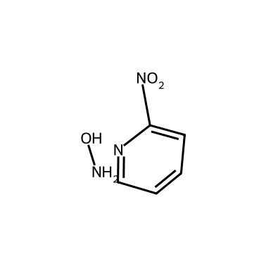 NO.O=[N+]([O-])c1ccccn1